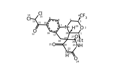 CC[C@@H]1O[C@H](C(F)(F)F)CN2c3ccc(C(=O)C(Cl)Cl)cc3CC3(C(=O)NC(=O)NC3=O)[C@@H]12